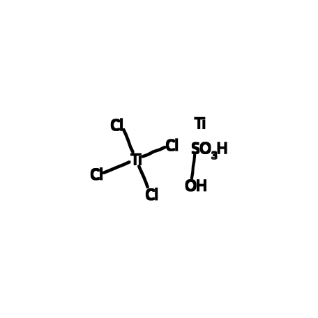 O=S(=O)(O)O.[Cl][Ti]([Cl])([Cl])[Cl].[Ti]